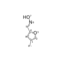 [CH2]c1coc(C=NO)c1